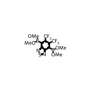 COB(OC)c1c(C(F)(F)F)c(C(F)(F)F)c(B(OC)OC)c2nsnc12